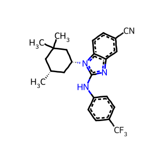 C[C@H]1C[C@@H](n2c(Nc3ccc(C(F)(F)F)cc3)nc3cc(C#N)ccc32)CC(C)(C)C1